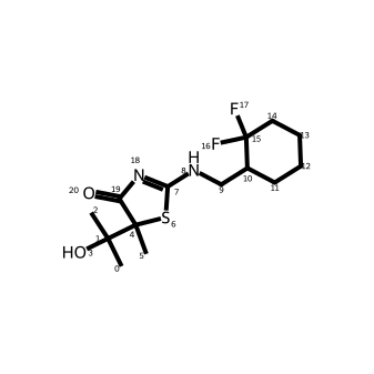 CC(C)(O)C1(C)SC(NCC2CCCCC2(F)F)=NC1=O